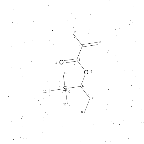 C=C(C)C(=O)OC(CC)[Si](C)(C)I